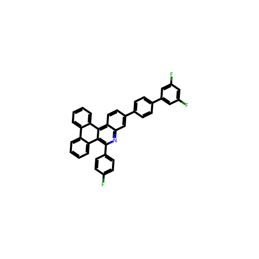 Fc1ccc(-c2nc3cc(-c4ccc(-c5cc(F)cc(F)c5)cc4)ccc3c3c4ccccc4c4ccccc4c23)cc1